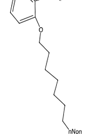 CCCCCCCCCCCCCCCCOc1ccccc1N